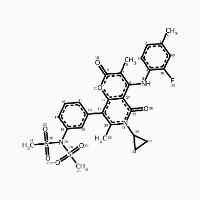 Cc1ccc(Nc2c(C)c(=O)oc3c(-c4cccc(N(S(C)(=O)=O)S(C)(=O)=O)c4)c(C)n(C4CC4)c(=O)c23)c(F)c1